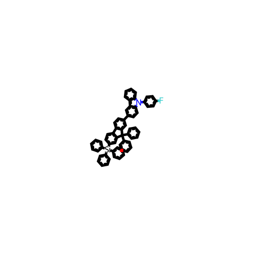 Fc1ccc(-n2c3ccccc3c3cc(-c4ccc5c(c4)C(c4ccccc4)(c4ccccc4)c4cc([Si](c6ccccc6)(c6ccccc6)c6ccccc6)ccc4-5)ccc32)cc1